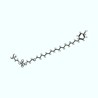 C[N+](C)(C)CCOP(=O)([O-])OCCCOCCCCCCCCCCCCCCCCCCc1ccc(I)cc1